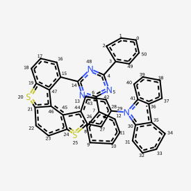 c1ccc(-c2nc(-c3ccccc3)nc(-c3cccc4sc5ccc6sc7cc(-n8c9ccccc9c9ccccc98)ccc7c6c5c34)n2)cc1